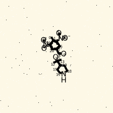 Cc1c([N+](=O)[O-])cc(C(=O)OC(C)(C)C2CCNCC2)cc1[N+](=O)[O-]